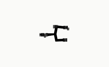 BN[C@@H](CS)C(=O)O